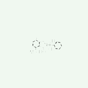 COc1ccc(I)c2c1C(O)N(C(C)(C)c1ccccc1)C2